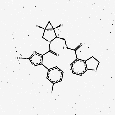 Nc1nc(C(=O)N2C[C@@H]3C[C@@H]3[C@H]2CNC(=O)c2cccc3c2CCO3)c(-c2cccc(F)c2)s1